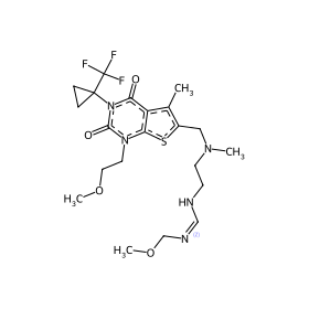 COCCn1c(=O)n(C2(C(F)(F)F)CC2)c(=O)c2c(C)c(CN(C)CCN/C=N\COC)sc21